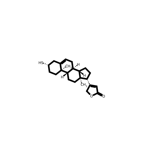 C[C@]12CC[C@H]3[C@@H](CC=C4C[C@@H](S)CC[C@@]43C)[C@@H]1CC[C@@H]2C1=CC(=O)OC1